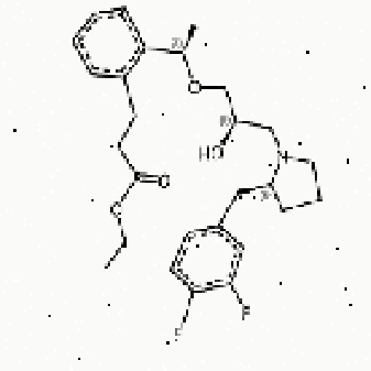 CCOC(=O)CCc1ccccc1[C@@H](C)OC[C@H](O)CN1CCC[C@H]1Cc1ccc(F)c(F)c1